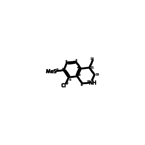 CSc1ccc2c(c1Cl)CNCC2C